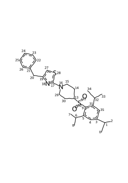 CC(C)c1cc(C(C)C)c(S(=O)(=O)C2CCN(c3nc(Cc4ccccc4)cs3)CC2)c(C(C)C)c1